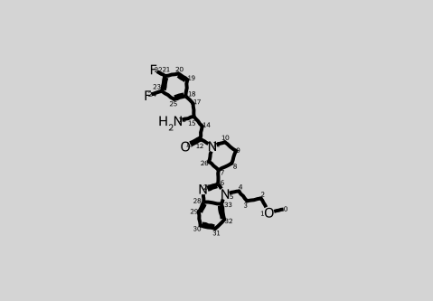 COCCCn1c(C2CCCN(C(=O)CC(N)Cc3ccc(F)c(F)c3)C2)nc2ccccc21